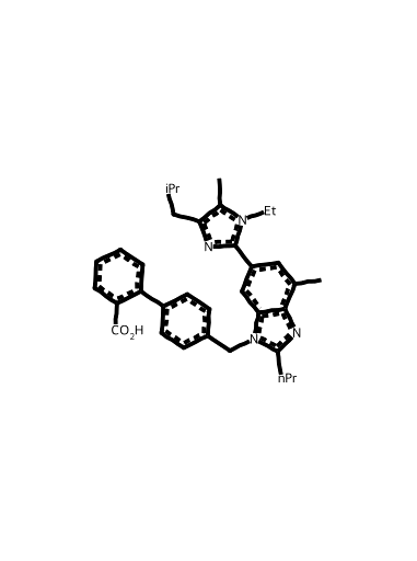 CCCc1nc2c(C)cc(-c3nc(CC(C)C)c(C)n3CC)cc2n1Cc1ccc(-c2ccccc2C(=O)O)cc1